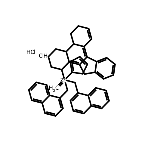 Cl.Cl.[CH2]=[Zr]([CH2]c1cccc2ccccc12)([CH2]c1cccc2ccccc12)([C]1=CC=CC1)[CH]1CCCC2C1=C1Cc3ccccc3C1=C1C=CCCC12